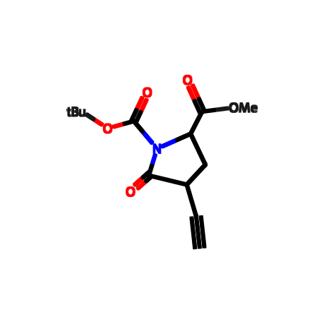 C#CC1CC(C(=O)OC)N(C(=O)OC(C)(C)C)C1=O